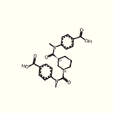 CN(C(=O)[C@@H]1CCC[C@H](C(=O)N(C)c2ccc(C(=O)O)cc2)C1)c1ccc(C(=O)O)cc1